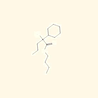 CCCCOC(=O)C(S)(CCC)C1CCCCC1